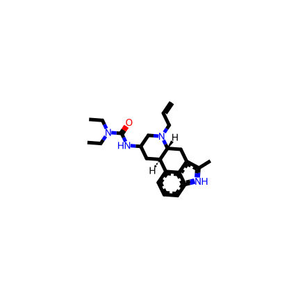 C=CCN1CC(NC(=O)N(CC)CC)C[C@@H]2c3cccc4[nH]c(C)c(c34)C[C@H]21